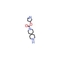 O=C(OC1CC=NC1)N1CCC2(CCNCC2)CC1